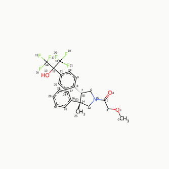 COCC(=O)N1C[C@@H](c2ccc(C(O)(C(F)(F)F)C(F)(F)F)cc2)[C@@](C)(c2ccccc2)C1